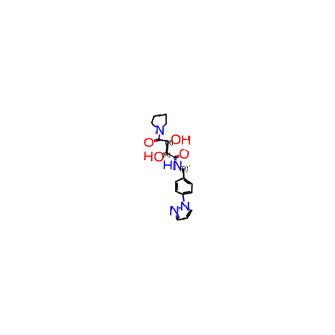 C[C@@H](NC(=O)[C@H](O)[C@@H](O)C(=O)N1CCCC1)c1ccc(-n2cccn2)cc1